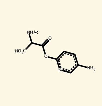 CC(=O)NC(C(=O)O)C(=O)Oc1ccc(N)cn1